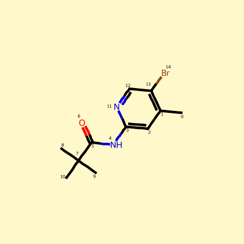 Cc1cc(NC(=O)C(C)(C)C)ncc1Br